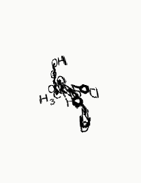 Cn1c2c(c(=O)n(CCOCCO)c1=O)N(Cc1ccc(Cl)cc1)C(Oc1cccc(CN3CCOCC3)c1)N2